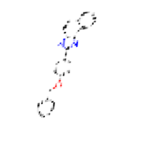 Cn1c(-c2ccc(OCc3ccccc3)cc2)nc2c3ccccc3ccc21